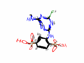 CNc1nc(F)nc(Nc2cc(S(=O)(=O)O)ccc2S(=O)(=O)O)n1